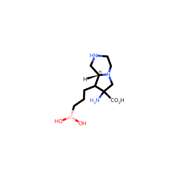 NC1(C(=O)O)CN2CCNC[C@H]2C1CCCB(O)O